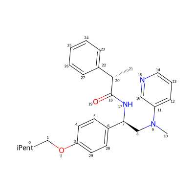 CCCC(C)COc1ccc([C@H](CN(C)c2cccnc2)NC(=O)[C@@H](C)c2ccccc2)cc1